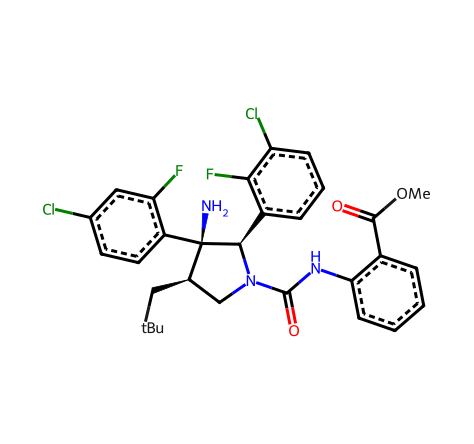 COC(=O)c1ccccc1NC(=O)N1C[C@@H](CC(C)(C)C)[C@](N)(c2ccc(Cl)cc2F)[C@H]1c1cccc(Cl)c1F